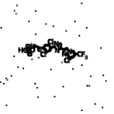 C[C@H](COc1cc(Cl)c(-c2noc(-c3cn4cc(C(F)(F)F)cc(Cl)c4n3)n2)cc1Cl)OP(=O)(O)O